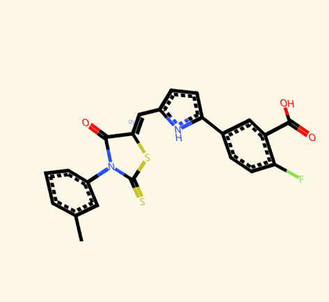 Cc1cccc(N2C(=O)/C(=C/c3ccc(-c4ccc(F)c(C(=O)O)c4)[nH]3)SC2=S)c1